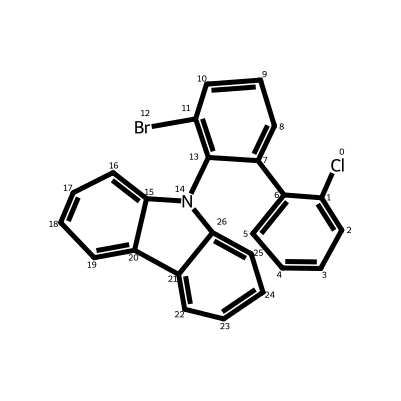 Clc1ccccc1-c1cccc(Br)c1-n1c2ccccc2c2ccccc21